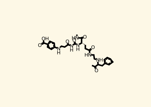 CNC(=O)[C@H](CCC(=O)NCCNC(Cc1ccccc1)C(C)=O)NC(=O)NC(=O)CCNc1ccc(C(=O)O)cc1